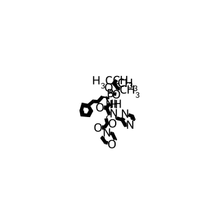 CC1(C)OB([C@H](CCCc2ccccc2)NC(=O)[C@@H](CCC(=O)N2CCOCC2)NC(=O)c2cnccn2)OC1(C)C